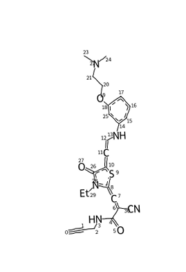 C#CCNC(=O)C(=C=c1sc(=C=CNc2cccc(OCCN(C)C)c2)c(=O)n1CC)C#N